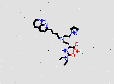 CCN(CC)C(=O)N[C@@H](CCN(CCCCc1ccc2c(n1)NCCC2)CCn1cccn1)C(=O)O